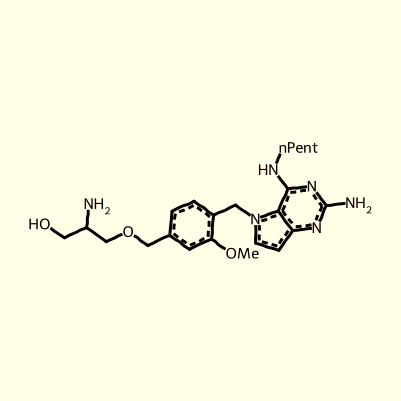 CCCCCNc1nc(N)nc2ccn(Cc3ccc(COCC(N)CO)cc3OC)c12